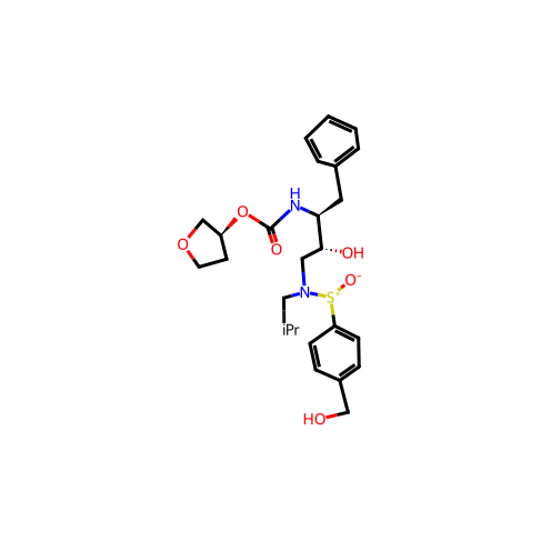 CC(C)CN(C[C@@H](O)[C@H](Cc1ccccc1)NC(=O)O[C@H]1CCOC1)[S+]([O-])c1ccc(CO)cc1